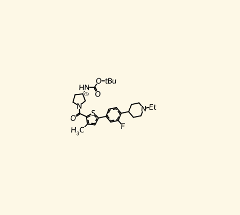 CCN1CCC(c2ccc(-c3cc(C)c(C(=O)N4CC[C@H](NC(=O)OC(C)(C)C)C4)s3)cc2F)CC1